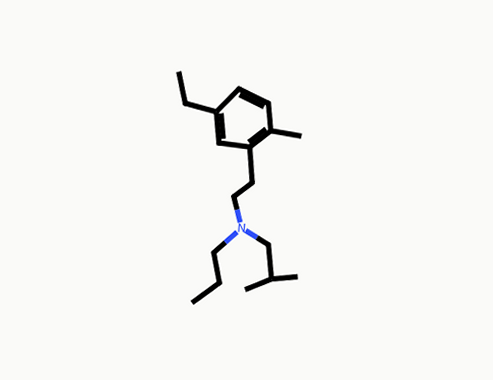 CCCN(CCc1cc(CC)ccc1C)CC(C)C